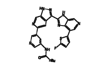 CCCCC(=O)Nc1cncc(-c2cc3c(-c4nc5c(-c6ccc(F)s6)cncc5[nH]4)n[nH]c3cn2)c1